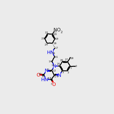 Cc1cc2nc3c(=O)[nH]c(=O)nc-3n(CCNC[C@H]3C=C([N+](=O)[O-])C=CC3)c2cc1C